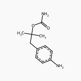 CC(C)(Cc1ccc(N)cc1)OC(N)=O